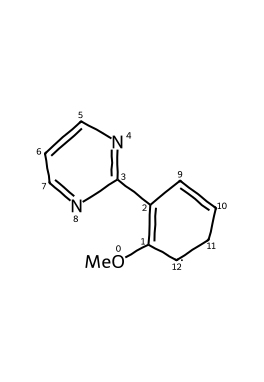 COC1=C(c2ncccn2)C=CC[CH]1